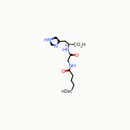 CCCCCCCCCCCCCC(=O)NCC(=O)N[C@@H](Cc1c[nH]cn1)C(=O)O